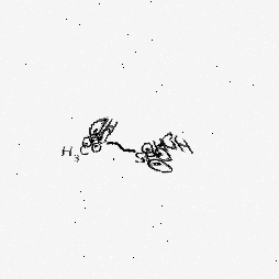 COP(=O)(O)OCCCCSP(=O)(O)OCO